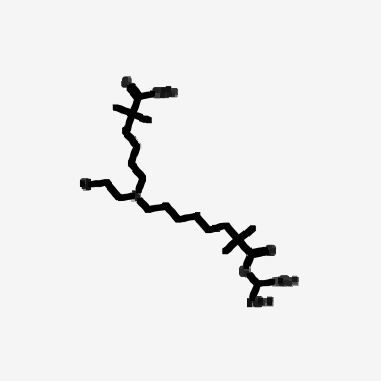 CCCCCCCCC(CCCCCCCC)OC(=O)C(C)(C)CCCCCCN(CCCl)CCCCC(C)(C)C(=O)OC